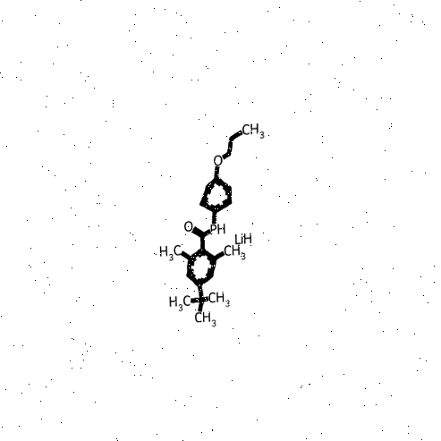 CCCOc1ccc(PC(=O)c2c(C)cc(C(C)(C)C)cc2C)cc1.[LiH]